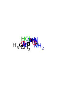 CC(C)c1nc(-c2cccc(-c3cc(-n4cnn(C/C(=C/F)CN)c4=O)ccn3)c2)no1.Cl